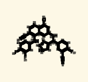 N#Cc1cc([C@H](Nc2cc(Cl)c3ncc(C#N)c(Nc4cnc(F)c(F)c4)c3c2)c2c[nH]nn2)ccc1F